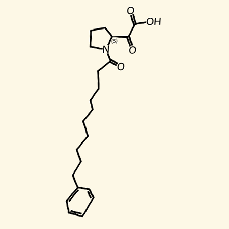 O=C(O)C(=O)[C@@H]1CCCN1C(=O)CCCCCCCCCc1ccccc1